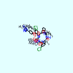 COC[C@@H]1NC(=O)[C@H](CC(=O)OC(C)(C)C)N(Cc2ccc(Cl)cc2Oc2ccc(-c3cnc(CN(C)C)n3C)cc2)C(=O)C[C@@H](Cc2ccccc2)C(=O)N(C)[C@@H](C)CNC(=O)C[C@H](Cc2ccc(Cl)cc2)N(C)C1=O